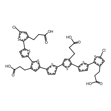 O=C(O)CCc1cc(Cl)sc1-c1ccc(-c2sc(-c3ccc(-c4cc(CCC(=O)O)c(-c5ccc(-c6sc(Cl)cc6CCC(=O)O)s5)s4)s3)cc2CCC(=O)O)s1